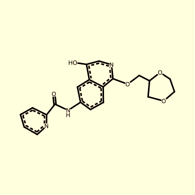 O=C(Nc1ccc2c(OCC3COCCO3)ncc(O)c2c1)c1ccccn1